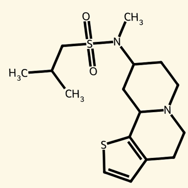 CC(C)CS(=O)(=O)N(C)C1CCN2CCc3ccsc3C2C1